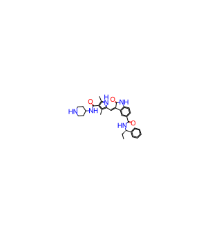 CC[C@@H](NC(=O)c1ccc2c(c1)/C(=C/c1[nH]c(C)c(C(=O)NC3CCNCC3)c1C)C(=O)N2)c1ccccc1